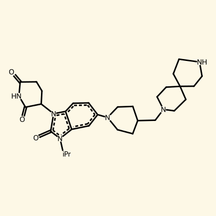 CC(C)n1c(=O)n(C2CCC(=O)NC2=O)c2ccc(N3CCC(CN4CCC5(CCNCC5)CC4)CC3)cc21